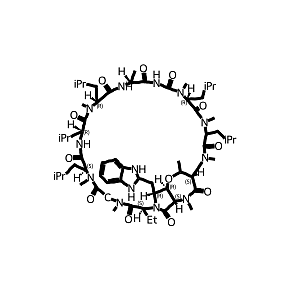 CC[C@H]1C(=O)N(C)CC(=O)N(C)[C@@H](CC(C)C)C(=O)N[C@H](C(C)C)C(=O)N(C)[C@H](CC(C)C)C(=O)N[C@H](C)C(=O)NC(=O)N(C)[C@H](CC(C)C)C(=O)N(C)C(CC(C)C)C(=O)N(C)[C@@H]2C(=O)N(C)[C@@H]3C(=O)N1[C@H](CC1Nc4ccccc4N1)[C@H]3OC2C